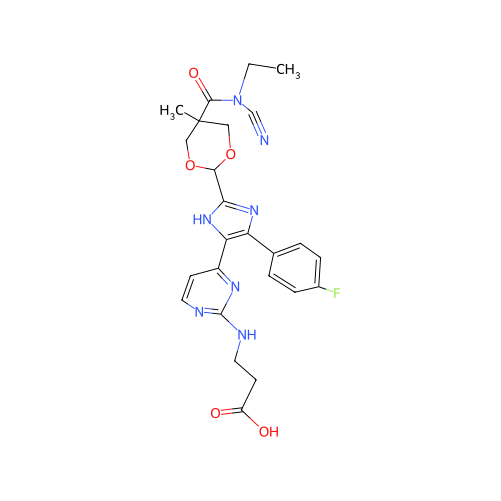 CCN(C#N)C(=O)C1(C)COC(c2nc(-c3ccc(F)cc3)c(-c3ccnc(NCCC(=O)O)n3)[nH]2)OC1